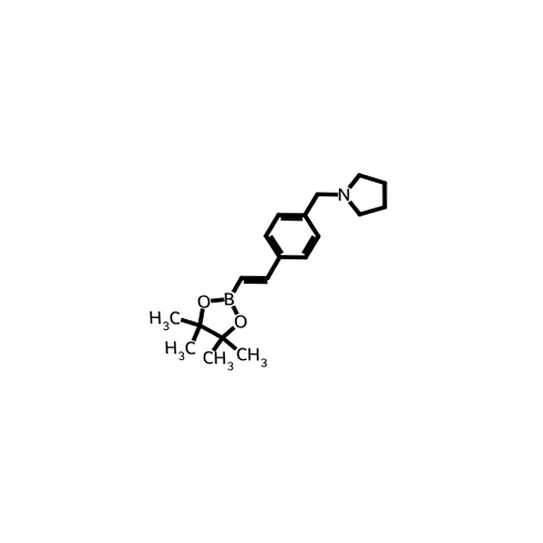 CC1(C)OB(C=Cc2ccc(CN3CCCC3)cc2)OC1(C)C